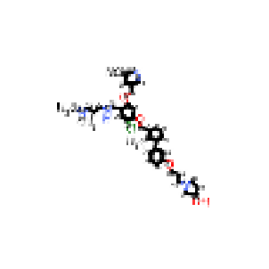 Cc1c(COc2cc(OCc3cncc(C#N)c3)c(CNCCCN(C)C)cc2Cl)cccc1-c1cccc(OCCCN2CC[C@H](O)C2)c1